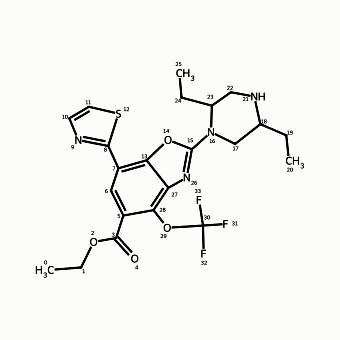 CCOC(=O)c1cc(-c2nccs2)c2oc(N3CC(CC)NCC3CC)nc2c1OC(F)(F)F